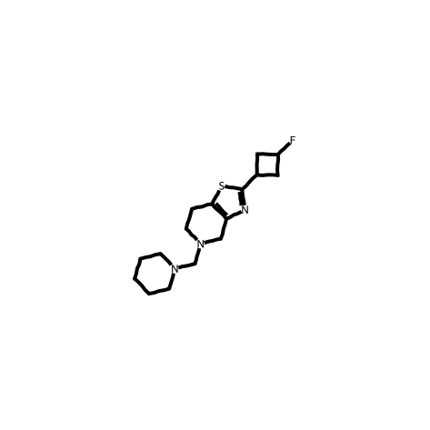 FC1CC(c2nc3c(s2)CCN(CN2CCCCC2)C3)C1